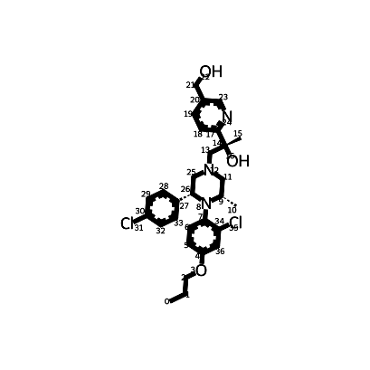 CCCOc1ccc(N2[C@@H](C)CN(C[C@@](C)(O)c3ccc(CO)cn3)C[C@H]2c2ccc(Cl)cc2)c(Cl)c1